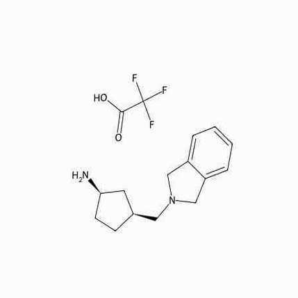 N[C@@H]1CC[C@H](CN2Cc3ccccc3C2)C1.O=C(O)C(F)(F)F